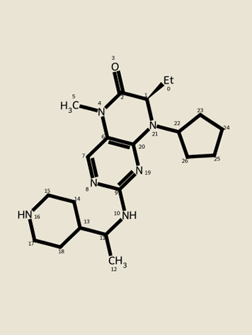 CC[C@@H]1C(=O)N(C)c2cnc(NC(C)C3CCNCC3)nc2N1C1CCCC1